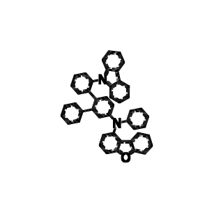 c1ccc(-c2cc(N(c3ccccc3)c3cccc4oc5ccccc5c34)ccc2-c2ccccc2-n2c3ccccc3c3ccccc32)cc1